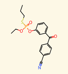 CCCSP(=O)(OCC)Oc1cccc(C(=O)c2ccc(C#N)cc2)c1